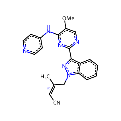 COc1cnc(-c2nn(C/C(C)=C\C#N)c3ccccc23)nc1Nc1ccncc1